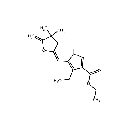 C=C1O/C(=C/c2[nH]cc(C(=O)OCC)c2CC)CC1(C)C